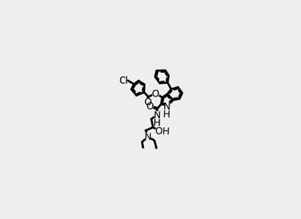 CCN(CC)CC(O)CNC(=O)c1[nH]c2cccc(-c3ccccc3)c2c1OC(=O)c1ccc(Cl)cc1